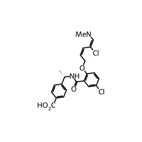 CN/C=C(Cl)\C=C/COc1ccc(Cl)cc1C(=O)N[C@@H](C)c1ccc(C(=O)O)cc1